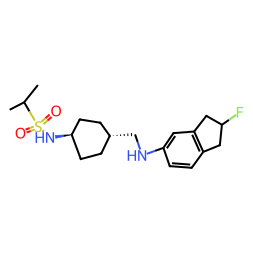 CC(C)S(=O)(=O)N[C@H]1CC[C@H](CNc2ccc3c(c2)CC(F)C3)CC1